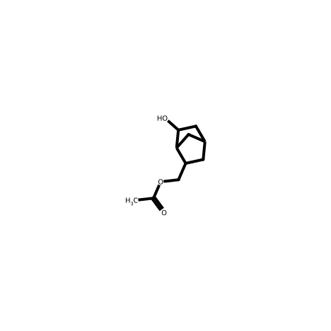 CC(=O)OCC1CC2CC(O)C1C2